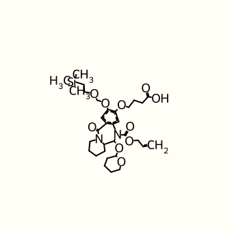 C=CCOC(=O)N1c2cc(OCCCC(=O)O)c(OCOCC[Si](C)(C)C)cc2C(=O)N2CCCCC2C1OC1CCCCO1